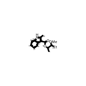 CCC(OC)C(C)OC(=O)c1c(C)[nH]c2ccccc12